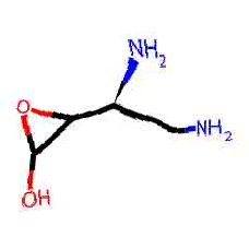 NC[C@H](N)C1OC1O